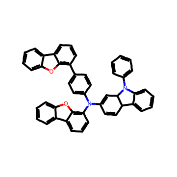 C1=CC2c3ccccc3N(c3ccccc3)C2C=C1N(c1ccc(-c2cccc3c2oc2ccccc23)cc1)c1cccc2c1oc1ccccc12